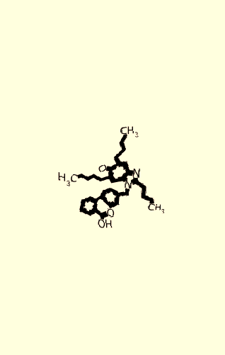 CCCCCc1cc2nc(CCCC)n(Cc3ccc(-c4ccccc4C(=O)O)cc3)c2cc(CCCCC)c1=O